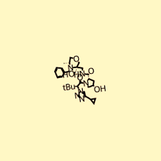 C[C@@H]1COC[C@@](CO)(CNC(=O)[C@@H]2C[C@@H](O)CN2C(=O)[C@@H](n2cc(C3CC3)nn2)C(C)(C)C)N1Cc1ccccc1